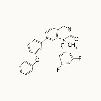 CC1(Cc2cc(F)cc(F)c2)C(=O)[N]Cc2ccc(-c3cccc(Oc4ccccc4)c3)cc21